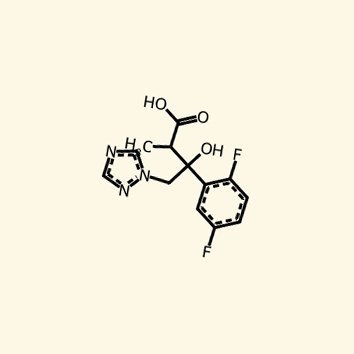 CC(C(=O)O)C(O)(Cn1cncn1)c1cc(F)ccc1F